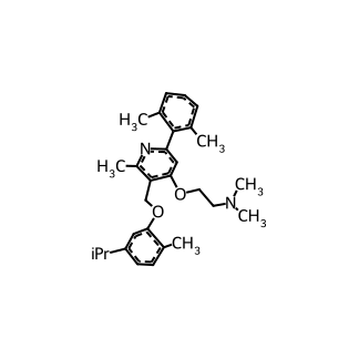 Cc1ccc(C(C)C)cc1OCc1c(OCCN(C)C)cc(-c2c(C)cccc2C)nc1C